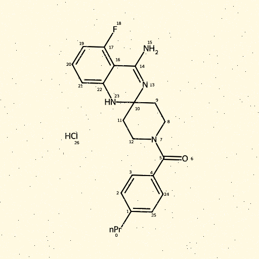 CCCc1ccc(C(=O)N2CCC3(CC2)N=C(N)c2c(F)cccc2N3)cc1.Cl